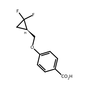 O=C(O)c1ccc(OC[C@H]2CC2(F)F)cc1